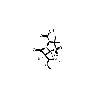 COC(N)[C@@]1(Br)C(=O)N2[C@@H](C(=O)O)C(C)(C)S(=O)(=O)[C@@H]21